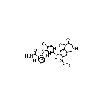 COc1cc2c(cc1Nc1ncc(Cl)c(NC3C(C(N)=O)[C@@H]4C=C[C@H]3C4)n1)N(C)C(=O)CNC2